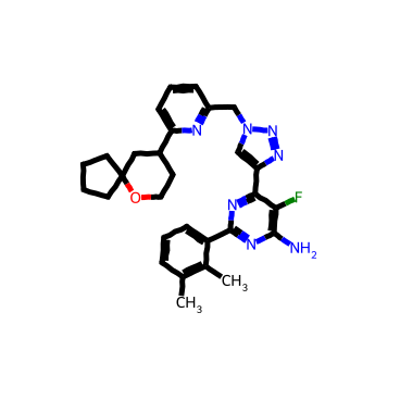 Cc1cccc(-c2nc(N)c(F)c(-c3cn(Cc4cccc(C5CCOC6(CCCC6)C5)n4)nn3)n2)c1C